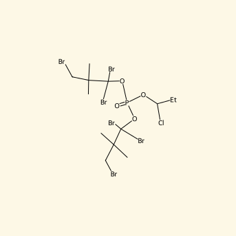 CCC(Cl)OP(=O)(OC(Br)(Br)C(C)(C)CBr)OC(Br)(Br)C(C)(C)CBr